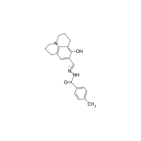 Cc1ccc(C(=O)N/N=C/c2cc3c4c(c2O)CCCN4CCC3)cc1